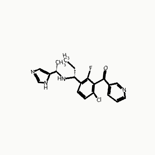 CC[C@@H](N[C@@H](C)c1cnc[nH]1)c1ccc(Cl)c(C(=O)c2cccnc2)c1F